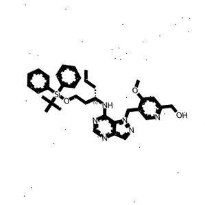 CCC[C@@H](CCO[Si](c1ccccc1)(c1ccccc1)C(C)(C)C)Nc1n[c]nc2cnn(Cc3cnc(CO)cc3OC)c12